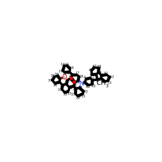 CC1(c2ccc(N(c3ccc(-c4ccccc4)cc3)c3ccccc3-c3ccc4c5c(cccc35)-c3ccccc3O4)cc2)c2ccccc2-c2ccccc21